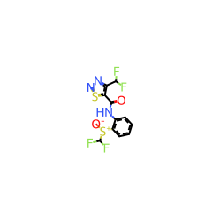 O=C(Nc1ccccc1[S+]([O-])C(F)F)c1snnc1C(F)F